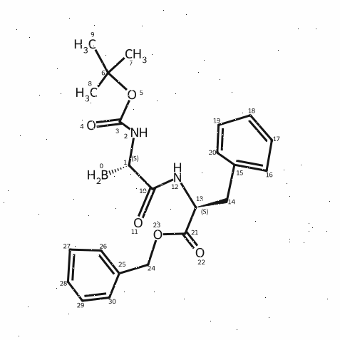 B[C@H](NC(=O)OC(C)(C)C)C(=O)N[C@@H](Cc1ccccc1)C(=O)OCc1ccccc1